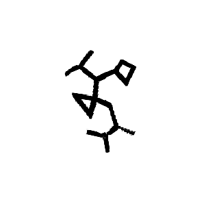 CC(C)C(C1CCC1)C1(C[C@H](C)N(C)C)CC1